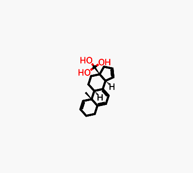 C[C@]12C=CCCC1=CC=C1[C@@H]3C=CC[C@@]3(C(O)(O)O)CC[C@@H]12